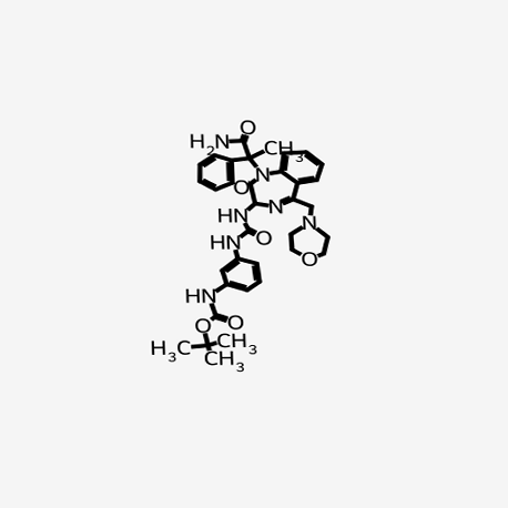 CC(C)(C)OC(=O)Nc1cccc(NC(=O)NC2N=C(CN3CCOCC3)c3ccccc3N(C(C)(C(N)=O)c3ccccc3)C2=O)c1